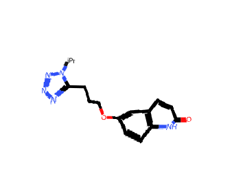 CC(C)n1nnnc1CCCOc1ccc2[nH]c(=O)ccc2c1